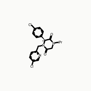 CC(C)N1CC(=O)N(Cc2ccc(Cl)cn2)[C@@H](c2ccc(Cl)cc2)C1=O